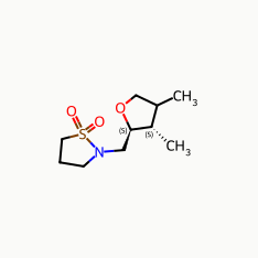 CC1CO[C@H](CN2CCCS2(=O)=O)[C@H]1C